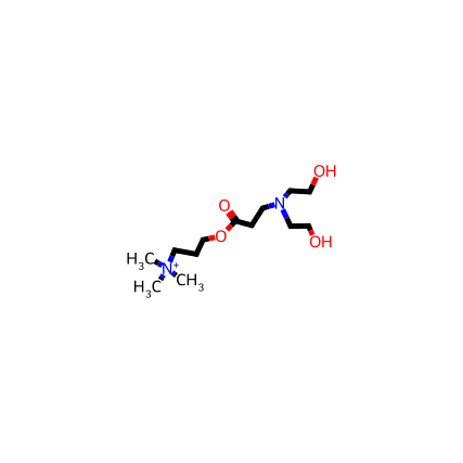 C[N+](C)(C)CCCOC(=O)CCN(CCO)CCO